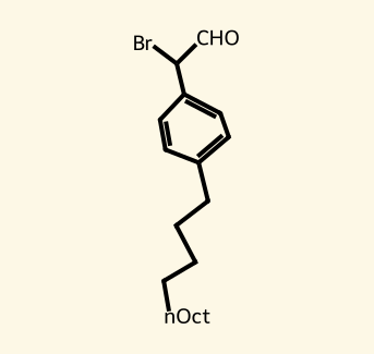 CCCCCCCCCCCCc1ccc(C(Br)C=O)cc1